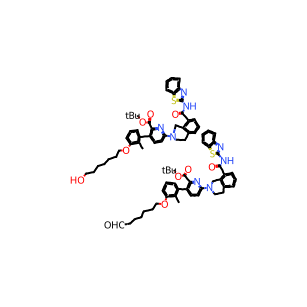 Cc1c(OCCCCCCC=O)cccc1-c1ccc(N2CCc3cccc(C(=O)Nc4nc5ccccc5s4)c3C2)nc1C(=O)OC(C)(C)C.Cc1c(OCCCCCCCO)cccc1-c1ccc(N2CCc3cccc(C(=O)Nc4nc5ccccc5s4)c3C2)nc1C(=O)OC(C)(C)C